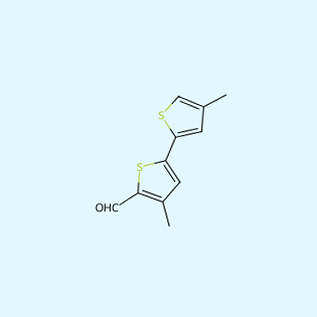 Cc1csc(-c2cc(C)c(C=O)s2)c1